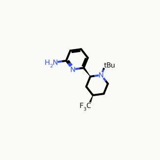 CC(C)(C)N1CC[C@@H](C(F)(F)F)C[C@H]1c1cccc(N)n1